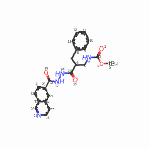 CC(C)(C)OC(=O)NCC(Cc1ccccc1)C(=O)NNC(=O)c1ccc2cnccc2c1